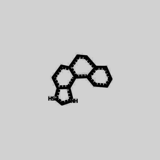 c1ccc2c(c1)ccc1ccc3[siH]c[nH]c3c12